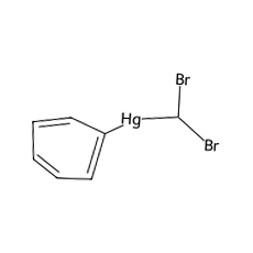 Br[CH](Br)[Hg][c]1ccccc1